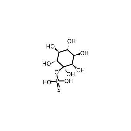 O[C@@H]1[C@@H](O)[C@@H](O)[C@@](O)(OP(O)(O)=S)[C@H](O)[C@H]1O